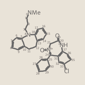 CNCCCN1c2ccccc2CCc2ccccc21.O=C1C[N+]([O-])=C(c2ccccc2)c2cc(Cl)ccc2N1